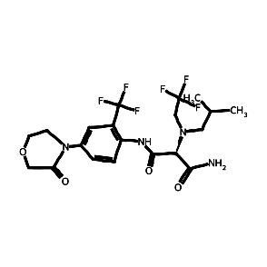 CC(C)CN(CC(F)(F)F)[C@@H](C(N)=O)C(=O)Nc1ccc(N2CCOCC2=O)cc1C(F)(F)F